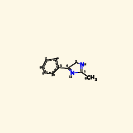 CC1=NCC(c2ccccc2)=N1